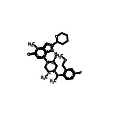 COCc1cc(F)ccc1C(C)N1C[C@H](C)N(c2cc(=O)n(C)c3cn(C4CCCCO4)nc23)C[C@H]1C